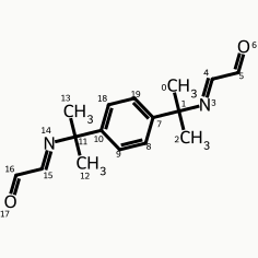 CC(C)(N=CC=O)c1ccc(C(C)(C)N=CC=O)cc1